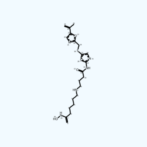 C=C(CCCCCNCCCC(=O)Nc1ncc(SCc2ncc(C(=C)C)o2)s1)NO